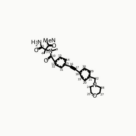 CNC(=O)C(C)(C(N)=O)N(C)C(=O)c1ccc(C#Cc2ccc(CN3CCOCC3)cc2)cc1